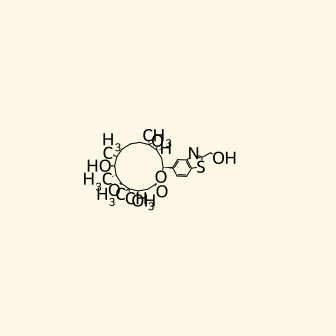 C[C@H]1CCC[C@@]2(C)O[C@H]2C[C@@H](c2ccc3sc(CO)nc3c2)OC(=O)C[C@H](O)C(C)(C)C(=O)[C@H](C)[C@H]1O